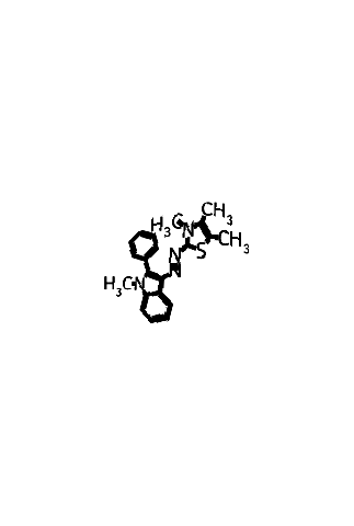 CC1=C(C)N(C)C(N=Nc2c(-c3ccccc3)n(C)c3ccccc23)S1